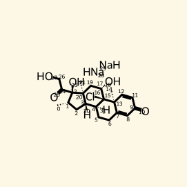 C[C@H]1C[C@H]2[C@@H]3CCC4=CC(=O)C=C[C@]4(C)[C@@]3(Cl)[C@@H](O)C[C@]2(C)[C@@]1(O)C(=O)CO.[NaH].[NaH]